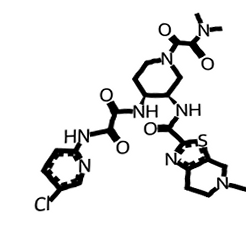 CN1CCc2nc(C(=O)N[C@@H]3CN(C(=O)C(=O)N(C)C)CC[C@@H]3NC(=O)C(=O)Nc3ccc(Cl)cn3)sc2C1